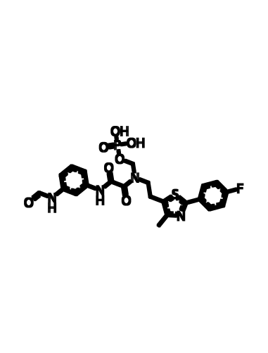 Cc1nc(-c2ccc(F)cc2)sc1CCN(COP(=O)(O)O)C(=O)C(=O)Nc1cccc(NC=O)c1